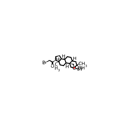 CC(C)OC[C@]12CC[C@@](C)(O)C[C@H]1CC[C@H]1[C@@H]3CC[C@H](C(=O)CBr)[C@@]3(C)CC[C@@H]12